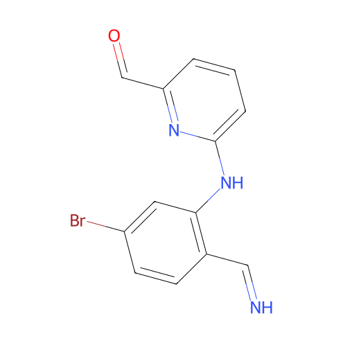 N=Cc1ccc(Br)cc1Nc1cccc(C=O)n1